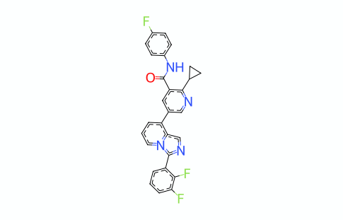 O=C(Nc1ccc(F)cc1)c1cc(-c2cccn3c(-c4cccc(F)c4F)ncc23)cnc1C1CC1